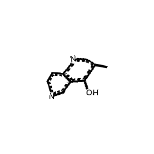 Cc1cnc2ccncc2c1O